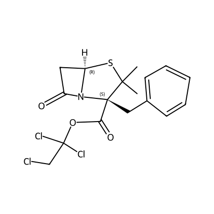 CC1(C)S[C@@H]2CC(=O)N2[C@@]1(Cc1ccccc1)C(=O)OC(Cl)(Cl)CCl